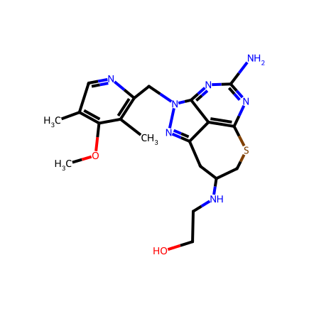 COc1c(C)cnc(Cn2nc3c4c(nc(N)nc42)SCC(NCCO)C3)c1C